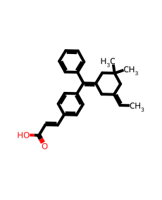 C/C=C1/C/C(=C(/c2ccccc2)c2ccc(/C=C/C(=O)O)cc2)CC(C)(C)C1